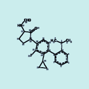 CP(C)c1ccccc1-c1ccc(N2CCC(NC=O)C2=O)c(F)c1C1CC1